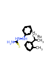 Cc1ccccc1C(C)C.NC(=S)NNc1ccccc1.[Ru]